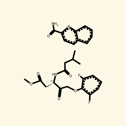 COC(=O)C[C@H](NC(=O)CC(C)C)C(=O)COc1c(F)cccc1F.NC(=O)c1ccc2ccccc2n1